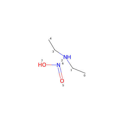 CCNCC.O=NO